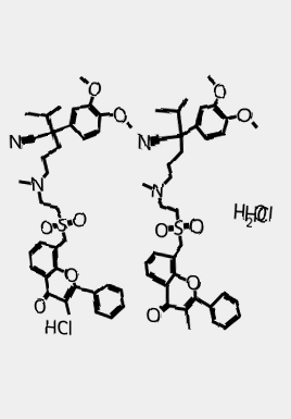 COc1ccc(C(C#N)(CCCN(C)CCS(=O)(=O)Cc2cccc3c(=O)c(C)c(-c4ccccc4)oc23)C(C)C)cc1OC.COc1ccc(C(C#N)(CCCN(C)CCS(=O)(=O)Cc2cccc3c(=O)c(C)c(-c4ccccc4)oc23)C(C)C)cc1OC.Cl.Cl.O